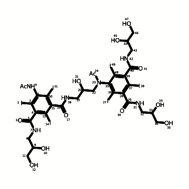 CC(=O)Nc1c(I)c(C(=O)NCC(O)CO)c(I)c(C(=O)NCC(O)CN(C(C)=O)c2c(I)c(C(=O)NCC(O)CO)c(I)c(C(=O)NCC(O)CO)c2I)c1I